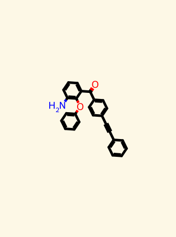 Nc1cccc(C(=O)c2ccc(C#Cc3ccccc3)cc2)c1Oc1ccccc1